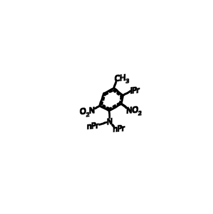 CCCN(CCC)c1c([N+](=O)[O-])cc(C)c(C(C)C)c1[N+](=O)[O-]